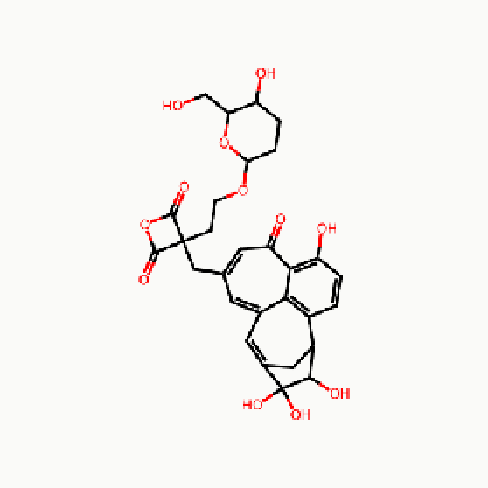 O=C1OC(=O)C1(CCOC1CCC(O)C(CO)O1)Cc1cc2c3c(ccc(O)c3c(=O)c1)C1CC(=C2)C(O)(O)C1O